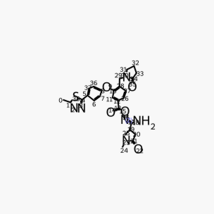 Cc1nnc(-c2ccc(Oc3cc(C(=O)O/N=C(\N)C4CC(=O)N(C)C4)ccc3CN3CCCC3=O)cc2)s1